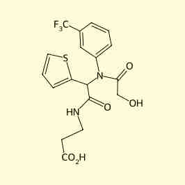 O=C(O)CCNC(=O)C(c1cccs1)N(C(=O)CO)c1cccc(C(F)(F)F)c1